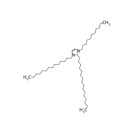 CCCCCCCCCCCCCCCCC1N(CCCCCCCCCCC)C=CN1CCCCCCCCCCCCCC